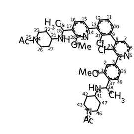 COc1cc(-c2nccc(-c3cccc(-c4ccc(C(C)NC5CCN(C(C)=O)CC5)c(OC)n4)c3Cl)c2Cl)ccc1C(C)NC1CCN(C(C)=O)CC1